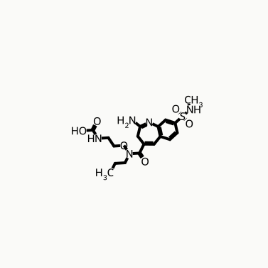 CCCN(OCCNC(=O)O)C(=O)C1=Cc2ccc(S(=O)(=O)NC)cc2N=C(N)C1